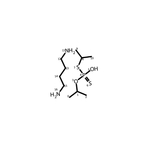 CC(C)OP(O)(=S)SC(C)C.NCCCCN